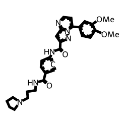 COc1ccc(-c2ccnc3cc(C(=O)Nc4ccc(C(=O)NCCCN5CCCC5)cc4)nn23)cc1OC